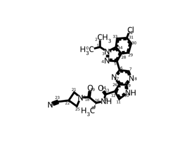 CC(C)n1nc(-c2cnc3[nH]cc(C(=O)N[C@H](C)C(=O)N4CC(C#N)C4)c3n2)c2ccc(Cl)cc21